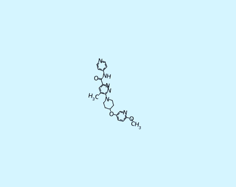 COc1ccc(OC2CCN(c3nnc(C(=O)Nc4ccncc4)cc3C)CC2)cn1